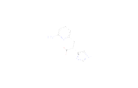 Nc1cccc(CC(C(=O)O)c2c[nH]cn2)n1